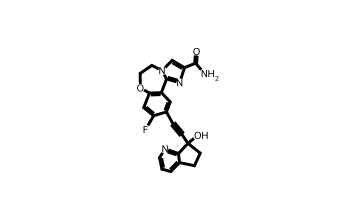 NC(=O)c1cn2c(n1)-c1cc(C#CC3(O)CCc4cccnc43)c(F)cc1OCC2